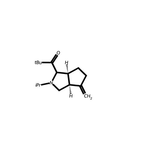 C=C1CC[C@@H]2C(C(=O)C(C)(C)C)N(C(C)C)C[C@H]12